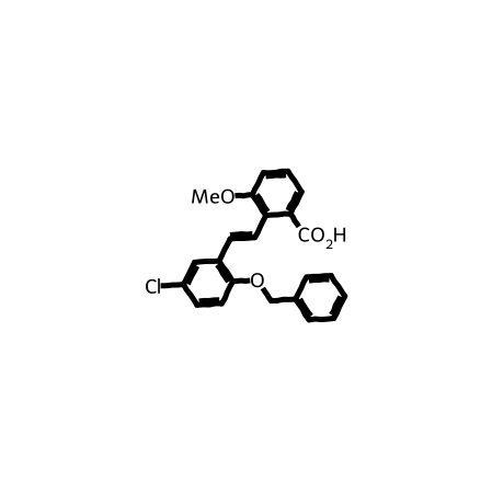 COc1cccc(C(=O)O)c1C=Cc1cc(Cl)ccc1OCc1ccccc1